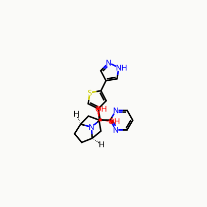 OC(c1csc(-c2cn[nH]c2)c1)N1[C@@H]2CC[C@H]1C[C@](O)(c1ncccn1)C2